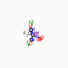 CS(=O)(=O)CC(=O)NCC1=C(c2ccc(OC(F)F)cn2)C[C@](c2ccc(OCC(F)F)cc2)(C(F)(F)F)NC1=O